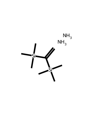 C=C([Si](C)(C)C)[Si](C)(C)C.N.N